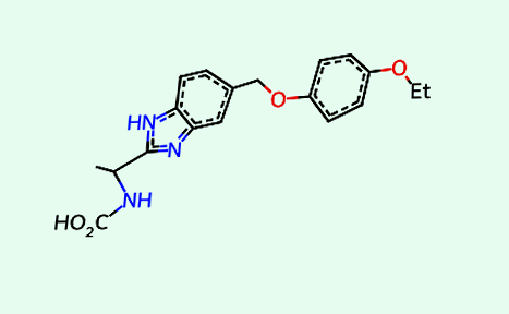 CCOc1ccc(OCc2ccc3[nH]c(C(C)NC(=O)O)nc3c2)cc1